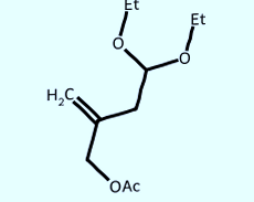 C=C(COC(C)=O)CC(OCC)OCC